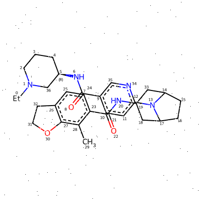 CCN1CCC[C@@H](NC(=O)c2ccc(N3C4CCC3CC(NC(=O)c3ccc5c(c3C)OCC5)C4)nc2)C1